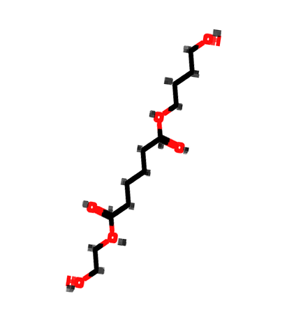 O=C(CCCCC(=O)OCCCCO)OCCO